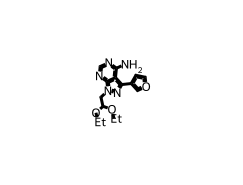 CCOC(Cn1nc(-c2ccoc2)c2c(N)ncnc21)OCC